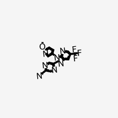 COc1ccc(-n2c(-c3cnc(C#N)cn3)nc3cc(C(F)(F)F)cnc32)cn1